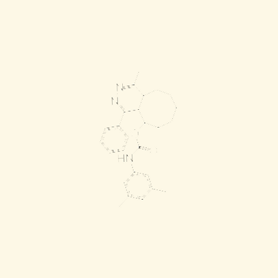 CC1=NN=C(c2ccccc2)C2C(OC(=O)Nc3cc(C)cc(C)c3)CCCCCC12